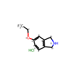 Cl.FC(F)(F)COc1ccc2c(c1)CNC2